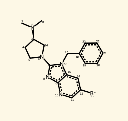 CN(C)[C@@H]1CCN(c2nc3ncc(Br)cc3n2Cc2ccccc2)C1